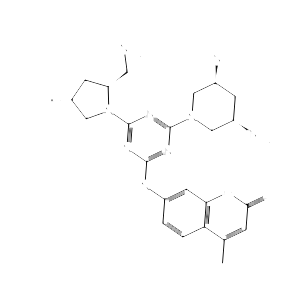 Cc1cc(=O)oc2cc(Nc3nc(N4C[C@H](N)C[C@H](N)C4)nc(N4C[C@H](O)C[C@H]4CN)n3)ccc12